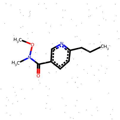 CCCc1ccc(C(=O)N(C)OC)cn1